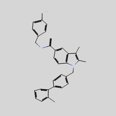 C=C(N[C@H](C)c1ccc(OC)cc1)c1ccc2c(c1)c(C)c(C)n2Cc1ccc(-c2ccccc2C(=O)O)cc1